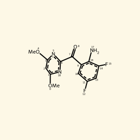 COc1cc(OC)nc(C(=O)c2cc(F)cc(F)c2N)n1